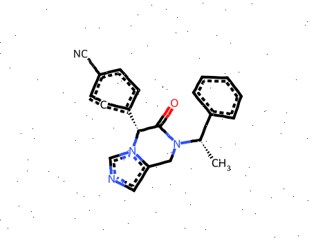 C[C@@H](c1ccccc1)N1Cc2cncn2[C@H](c2ccc(C#N)cc2)C1=O